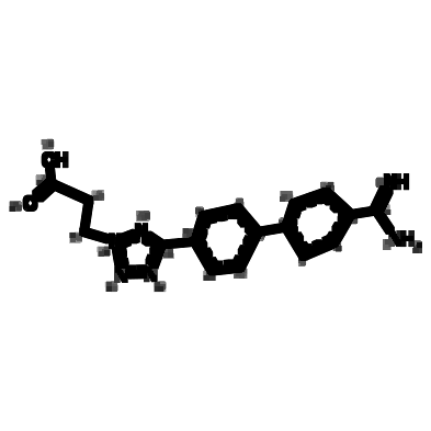 N=C(N)c1ccc(-c2ccc(-c3nnn(CCC(=O)O)n3)cc2)cc1